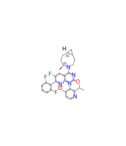 Cc1ccnc(C(C)C)c1-n1c(=O)nc(N2CCC3C[C@@H]3CC[C@@H]2C)c2cc(F)c(-c3c(F)cccc3F)[n+]([O-])c21